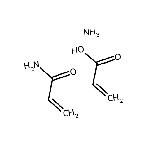 C=CC(=O)O.C=CC(N)=O.N